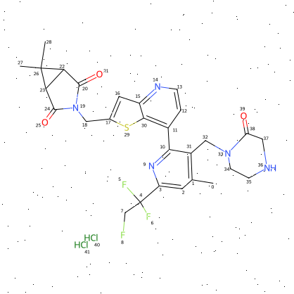 Cc1cc(C(F)(F)CF)nc(-c2ccnc3cc(CN4C(=O)C5C(C4=O)C5(C)C)sc23)c1CN1CCNCC1=O.Cl.Cl